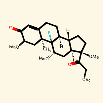 COC1C[C@@]2(C)C(=CC1=O)CC[C@H]1[C@@H]3CC[C@](OC)(C(=O)COC(C)=O)[C@@]3(C)C[C@H](OC)[C@@]12F